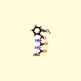 CCCCC(=O)NC(=O)NC(=O)c1ccccc1[N+](=O)[O-]